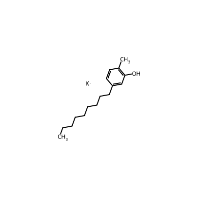 CCCCCCCCCc1ccc(C)c(O)c1.[K]